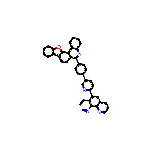 C=Cc1c(-c2ccc(-c3ccc(-c4nc5ccccc5c5c4ccc4c6ccccc6oc45)cc3)cn2)cc2cccnc2c1N=C